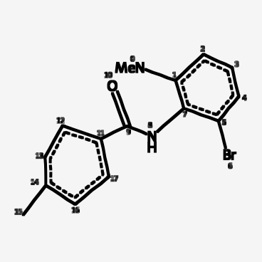 CNc1cccc(Br)c1NC(=O)c1ccc(C)cc1